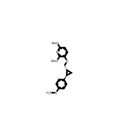 COc1ccc(OC[C@@H]2C[C@H]2c2ccc(SN)cc2)c(OC)n1